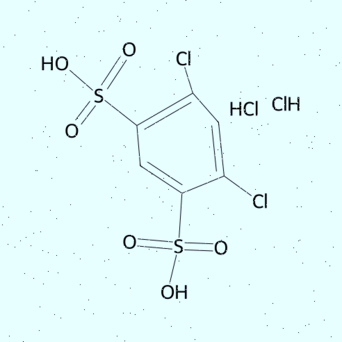 Cl.Cl.O=S(=O)(O)c1cc(S(=O)(=O)O)c(Cl)cc1Cl